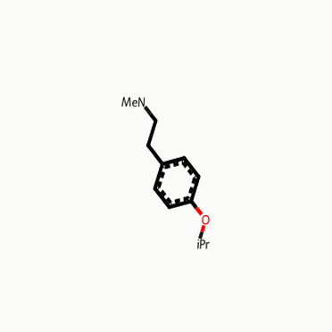 CNCCc1ccc(OC(C)C)cc1